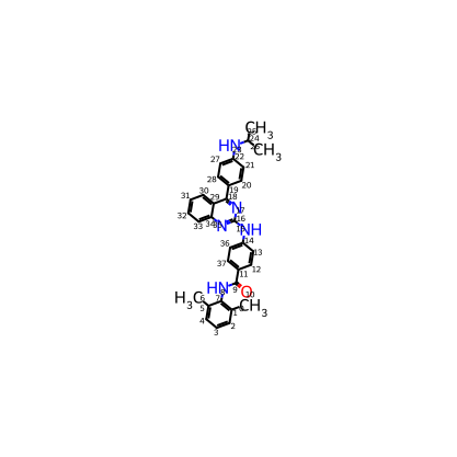 Cc1cccc(C)c1NC(=O)c1ccc(Nc2nc(-c3ccc(NC(C)C)cc3)c3ccccc3n2)cc1